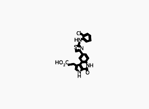 O=C(O)CCc1c[nH]c2c(=O)[nH]c3ccc(-c4csc(Nc5ccccc5Cl)n4)cc3c12